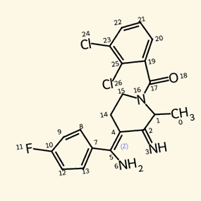 CC1C(=N)/C(=C(\N)c2ccc(F)cc2)CCN1C(=O)c1cccc(Cl)c1Cl